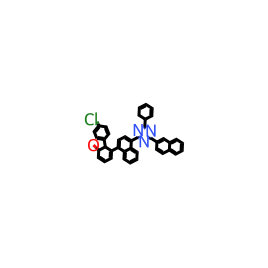 Clc1ccc2c(c1)OC1C=CC=C(c3ccc(-c4nc(-c5ccc6ccccc6c5)nc(C5C=CC=CC5)n4)c4ccccc34)C21